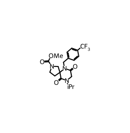 COC(=O)N1CCC2(C1)C(=O)N(C(C)C)CC(=O)N2Cc1ccc(C(F)(F)F)cc1